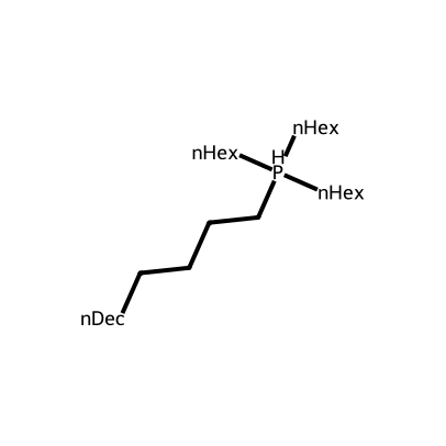 CCCCCCCCCCCCCC[PH](CCCCCC)(CCCCCC)CCCCCC